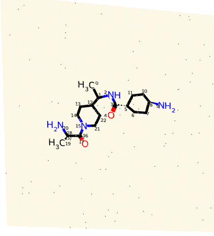 CC(NC(=O)[C@H]1CC[C@H](N)CC1)C1CCN(C(=O)[C@H](C)N)CC1